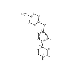 CN1CCN(Cc2ccc(N3CCNCC3)cc2)CC1